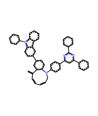 C=C1/C=C\C=C/CN(c2ccc(-c3cc(-c4ccccc4)nc(-c4ccccc4)n3)cc2)c2ccc(-c3ccc4c(c3)c3ccccc3n4-c3ccccc3)cc21